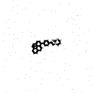 C1=CC23C=CC4=CC=C(c5ccc(-c6cn7cccnc7n6)cc5)C5=CCC(=C1)C2C45C3